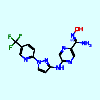 N/C(=N\O)c1cnc(Nc2ccn(-c3ccc(C(F)(F)F)cn3)n2)cn1